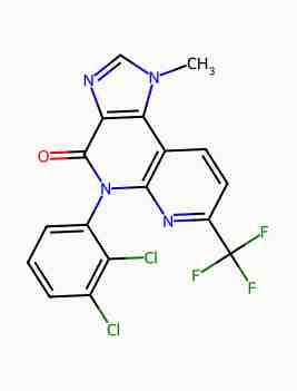 Cn1cnc2c(=O)n(-c3cccc(Cl)c3Cl)c3nc(C(F)(F)F)ccc3c21